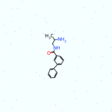 CC(N)CNC(=O)c1cccc(-c2ccccc2)c1